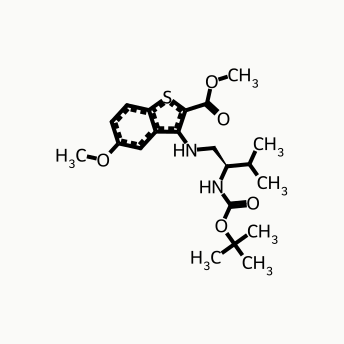 COC(=O)c1sc2ccc(OC)cc2c1NC[C@H](NC(=O)OC(C)(C)C)C(C)C